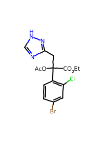 CCOC(=O)C(Cc1nc[nH]n1)(OC(C)=O)c1ccc(Br)cc1Cl